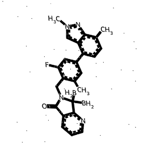 BC1(B)c2ncccc2C(=O)N1Cc1c(C)cc(-c2ccc(C)c3nn(C)cc23)cc1F